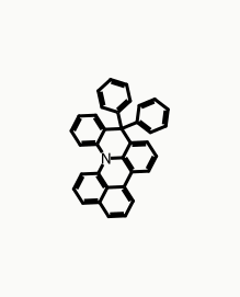 c1ccc(C2(c3ccccc3)c3ccccc3N3c4c(cccc42)-c2cccc4cccc3c24)cc1